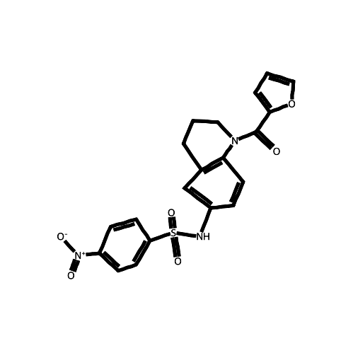 O=C(c1ccco1)N1CCCc2cc(NS(=O)(=O)c3ccc([N+](=O)[O-])cc3)ccc21